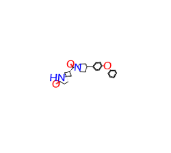 O=C1CC[C@]2(C[C@H](C(=O)N3CCC(c4ccc(Oc5ccccc5)cc4)CC3)C2)N1